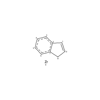 [C]1=Cc2ccccc2C1.[Zr]